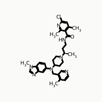 Cc1ccncc1CN(c1ccc2c(c1)ncn2C)C1CCN([C@H](C)CCNC(=O)c2c(C)cc(Cl)nc2C)CC1